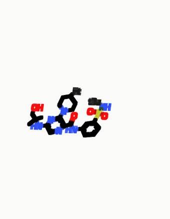 CCC1CCN(c2nc(NC(C)(C)CO)cnc2C(=O)Nc2cccc(S(=O)(=O)NC(C)(C)C)c2)CC1